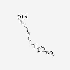 O=C(O)CCCCCCCCCCCCCc1ccc([N+](=O)[O-])cc1